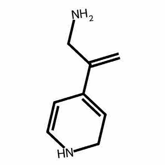 C=C(CN)C1=CCNC=C1